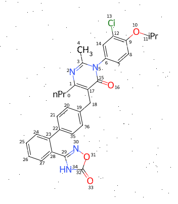 CCCc1nc(C)n(-c2ccc(OC(C)C)c(Cl)c2)c(=O)c1Cc1ccc(-c2ccccc2-c2noc(=O)[nH]2)cc1